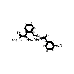 CO/N=C(/C(=O)OC)c1ccccc1CO/N=C(\C)c1cccc(C#N)c1